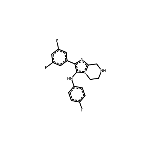 Fc1ccc(Nc2c(-c3cc(F)cc(F)c3)nc3n2CCNC3)cc1